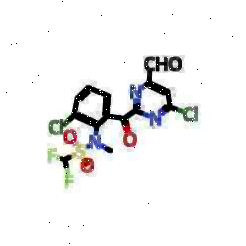 CN(c1c(Cl)cccc1C(=O)c1nc(Cl)cc(C=O)n1)S(=O)(=O)C(F)F